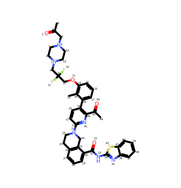 CC(=O)CN1CCN(CC(F)(F)COc2cccc(-c3ccc(N4CCc5cccc(C(=O)Nc6nc7ccccc7s6)c5C4)nc3C(C)=O)c2C)CC1